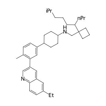 CCCC(CCCC(C)C)C1(CNC2CCC(c3ccc(C)c(-c4cnc5ccc(CC)cc5c4)c3)CC2)CCC1